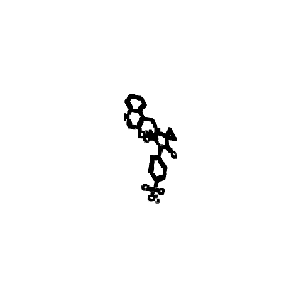 COc1cnc2ccccc2c1CN1C(=O)N(c2ccc(S(=O)(=O)C(F)(F)F)cc2)C(=O)C12CC2